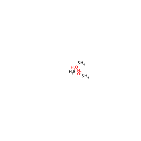 B.O.O.[SiH4].[SiH4]